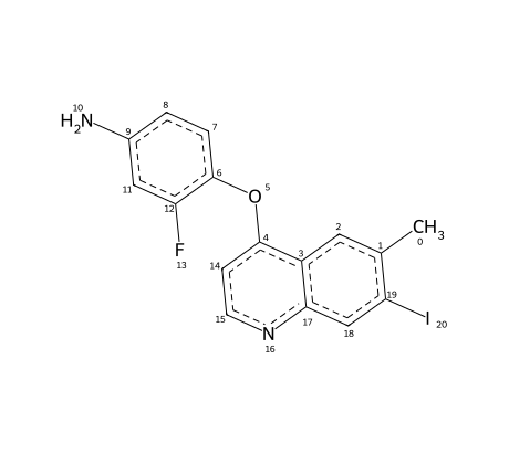 Cc1cc2c(Oc3ccc(N)cc3F)ccnc2cc1I